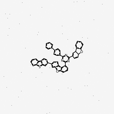 C1=CC2Oc3ccccc3C2C=C1c1nc(-c2ccc(-c3ccccc3)cc2)nc(-c2cccc3oc4cc(-c5ccc6c(c5)sc5ccccc56)ccc4c23)n1